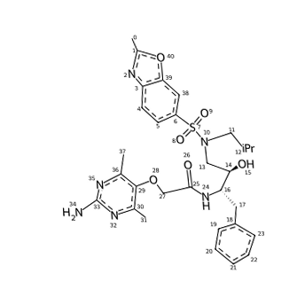 Cc1nc2ccc(S(=O)(=O)N(CC(C)C)C[C@@H](O)[C@H](Cc3ccccc3)NC(=O)COc3c(C)nc(N)nc3C)cc2o1